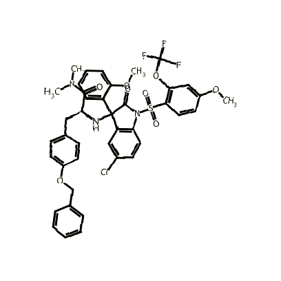 COc1ccc(S(=O)(=O)N2C(=O)C(N[C@@H](Cc3ccc(OCc4ccccc4)cc3)C(=O)N(C)C)(c3ccccc3OC)c3cc(Cl)ccc32)c(OC(F)(F)F)c1